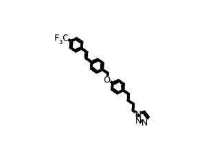 FC(F)(F)c1ccc(/C=C/c2ccc(COc3ccc(CCCCn4ccnn4)cc3)cc2)cc1